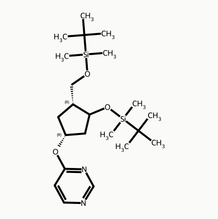 CC(C)(C)[Si](C)(C)OC[C@H]1C[C@@H](Oc2ccncn2)CC1O[Si](C)(C)C(C)(C)C